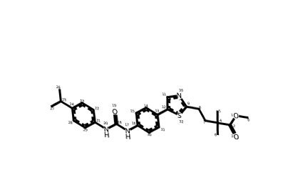 COC(=O)C(C)(C)CCc1ncc(-c2ccc(NC(=O)Nc3ccc(C(C)C)cc3)cc2)s1